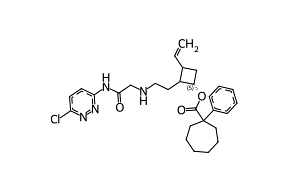 C=CC1C[C@H](OC(=O)C2(c3ccccc3)CCCCCC2)C1CCNCC(=O)Nc1ccc(Cl)nn1